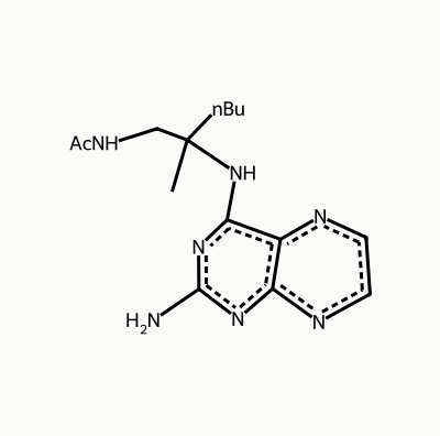 CCCCC(C)(CNC(C)=O)Nc1nc(N)nc2nccnc12